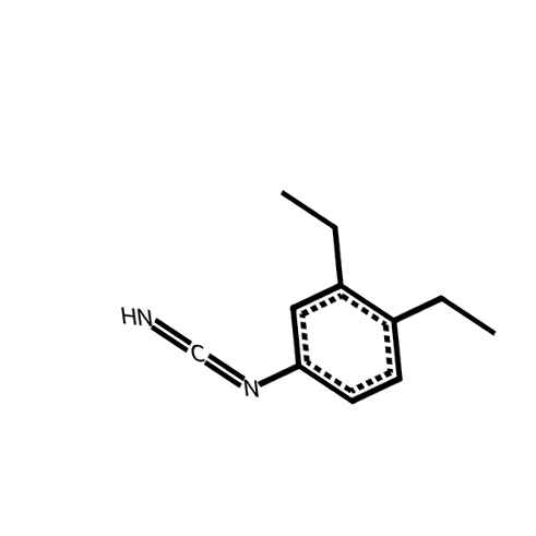 CCc1ccc(N=C=N)cc1CC